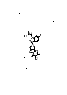 Cc1nc2c3c(nn2c(C)c1Cl)CN(C(=O)c1ccc(F)cc1OC[C@@H](O)C(F)(F)F)C3